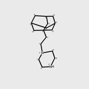 C1CN(CCC23CC4CC(CC(C4)C2)C3)CCN1